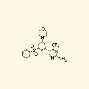 Nc1ncc(-c2cc(N3CCOCC3)cc(S(=O)(=O)c3ccccc3)c2)c(C(F)(F)F)n1